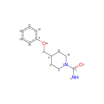 [NH]C(=O)N1CCC(COc2ccccc2)CC1